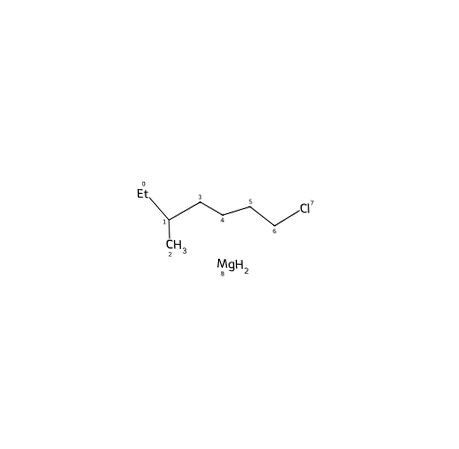 CCC(C)CCCCCl.[MgH2]